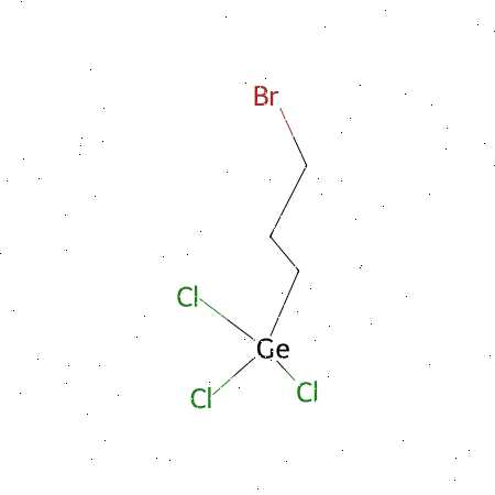 [Cl][Ge]([Cl])([Cl])[CH2]CCBr